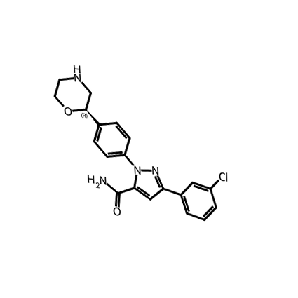 NC(=O)c1cc(-c2cccc(Cl)c2)nn1-c1ccc([C@@H]2CNCCO2)cc1